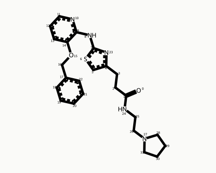 O=C(CCc1csc(Nc2ncccc2OCc2ccccc2)n1)NCCN1CCCC1